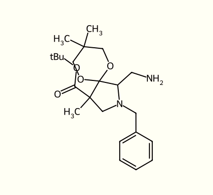 CC1(C)COC2(OC1)C(CN)N(Cc1ccccc1)CC2(C)C(=O)OC(C)(C)C